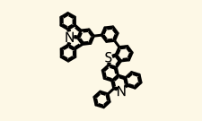 c1ccc(-c2nc3ccccc3c3c2ccc2sc4c(-c5cccc(-c6cc7c8ccccc8n8c9ccccc9c(c6)c78)c5)cccc4c23)cc1